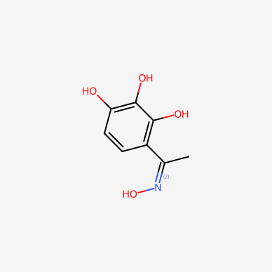 C/C(=N/O)c1ccc(O)c(O)c1O